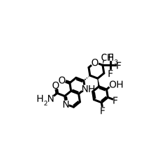 C[C@]1(C(F)(F)F)C[C@@H](c2ccc(F)c(F)c2O)[C@H](c2cc(=O)c3c(C(N)=O)nccc3[nH]2)CO1